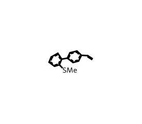 C=Cc1ccc(-c2ccccc2SC)cc1